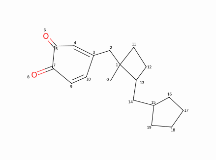 CC1(CC2=CC(=O)C(=O)C=C2)CCC1CC1CCCC1